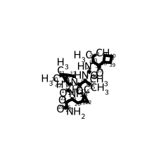 CC(C)[C@H](NC(=O)N[C@H](C(=O)N1CC2[C@@H]([C@H]1C(=O)NC(CC1CC1)C(=O)C(N)=O)C2(C)C)C(C)(C)C)C(=O)C1CCC1